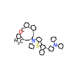 CC1/C=C\C(N(c2ccccc2)c2cccc3c2sc2c4ccccc4c(-c4cccc(N(c5ccccc5)c5ccccc5)c4)cc32)=C/Cc2ccccc2-c2ccccc2COc2ccccc21